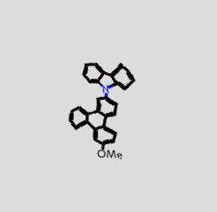 COc1ccc2c3ccc(-n4c5ccccc5c5ccccc54)cc3c3ccccc3c2c1